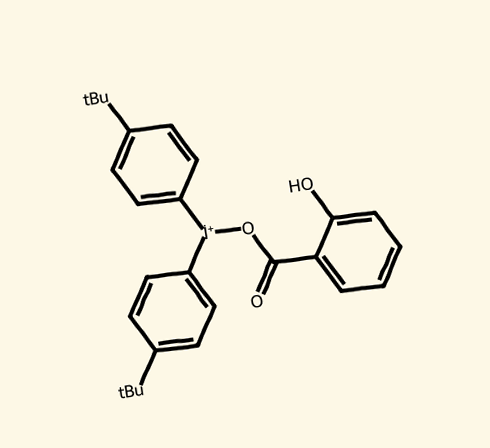 CC(C)(C)c1ccc([I+](OC(=O)c2ccccc2O)c2ccc(C(C)(C)C)cc2)cc1